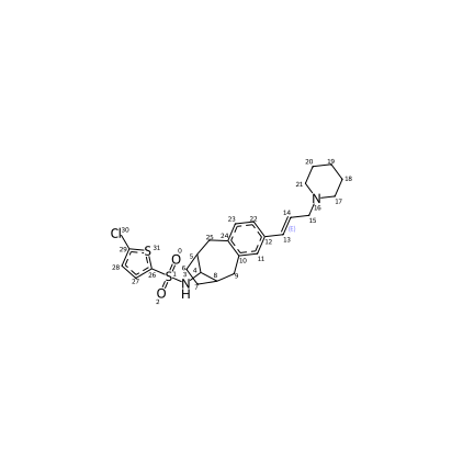 O=S(=O)(NC1C2CCC1Cc1cc(/C=C/CN3CCCCC3)ccc1C2)c1ccc(Cl)s1